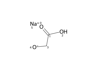 O=C(O)C[O-].[Na+]